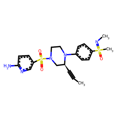 CC#C[C@H]1CN(S(=O)(=O)c2ccc(N)nc2)CCN1c1ccc(S(C)(=O)=NC)cc1